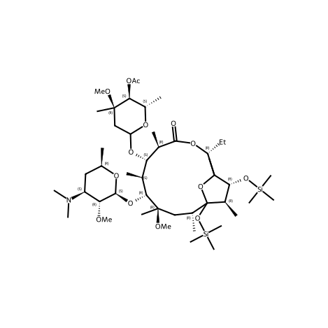 CC[C@H]1OC(=O)[C@H](C)[C@@H](OC2C[C@@](C)(OC)[C@@H](OC(C)=O)[C@H](C)O2)[C@H](C)[C@@H](O[C@@H]2O[C@H](C)C[C@H](N(C)C)[C@H]2OC)[C@](C)(OC)C[C@@H](C)C2(O[Si](C)(C)C)OC1(C)[C@H](O[Si](C)(C)C)[C@H]2C